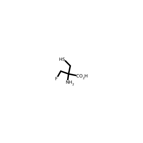 NC(CF)(CS)C(=O)O